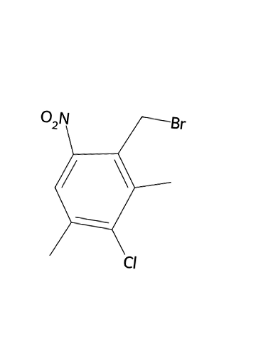 Cc1cc([N+](=O)[O-])c(CBr)c(C)c1Cl